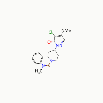 CNc1cnn(C2CCN(SN(C)c3ccccc3)CC2)c(=O)c1Cl